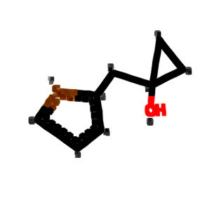 OC1(Cc2cccs2)CC1